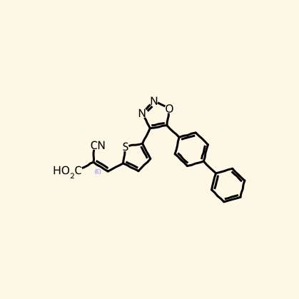 N#C/C(=C\c1ccc(-c2nnoc2-c2ccc(-c3ccccc3)cc2)s1)C(=O)O